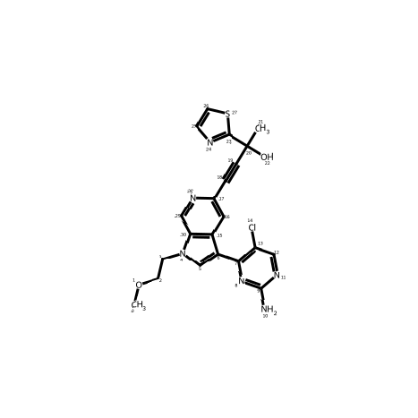 COCCn1cc(-c2nc(N)ncc2Cl)c2cc(C#CC(C)(O)c3nccs3)ncc21